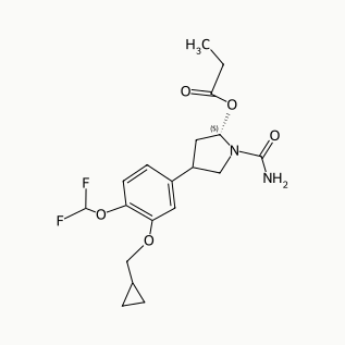 CCC(=O)O[C@H]1CC(c2ccc(OC(F)F)c(OCC3CC3)c2)CN1C(N)=O